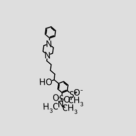 CN(C)S(=O)(=O)c1cc(C(O)CCCCN2CCN(c3ccccc3)CC2)ccc1[S+](C)[O-]